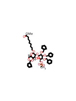 COC(=O)CCCCCCCCO[C@H]1O[C@@H]2COC(c3ccccc3)O[C@H]2[C@H](O)[C@H]1O[C@H]1O[C@H](COS(C)(=O)=O)[C@@H](OCc2ccccc2)[C@H](OCc2ccccc2)[C@H]1OCc1ccccc1